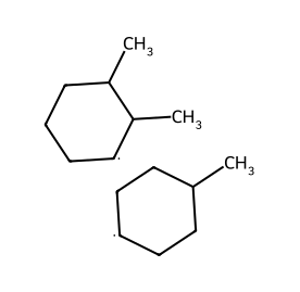 CC1CC[CH]CC1.CC1[CH]CCCC1C